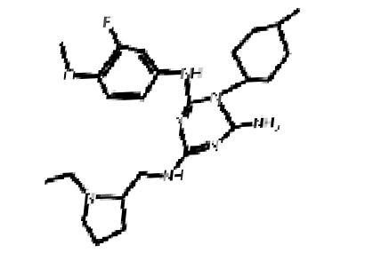 CCN1CCCC1CNC1=NC(N)N(C2CCC(C)CC2)C(Nc2ccc(OC)c(F)c2)=N1